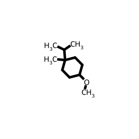 COC1CCC(C)(C(C)C)CC1